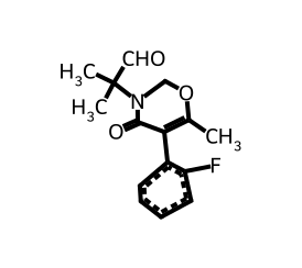 CC1=C(c2ccccc2F)C(=O)N(C(C)(C)C=O)CO1